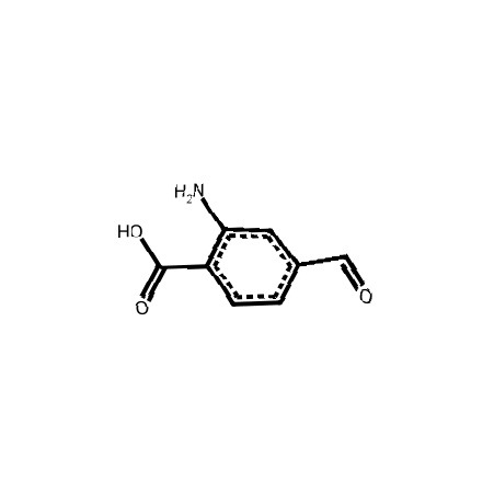 Nc1cc(C=O)ccc1C(=O)O